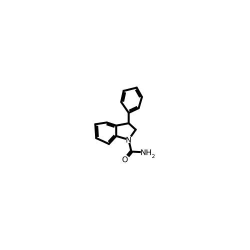 NC(=O)N1CC(c2ccccc2)c2ccccc21